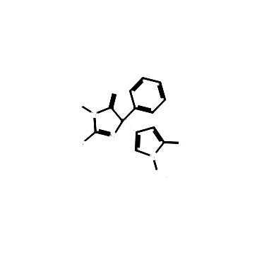 CC(=O)c1cc([C@]2(c3ccccc3)N=C(N)N(C)C2=O)cn1C